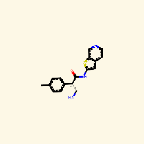 Cc1ccc([C@@H](CN)C(=O)Nc2cc3ccncc3s2)cc1